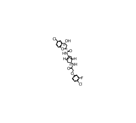 O=C(COc1ccc(Cl)c(F)c1)N[C@H]1C[C@H]2C[C@@H]1C[C@@H]2NC(=O)[C@H]1C[C@@H](O)c2cc(Cl)ccc2O1